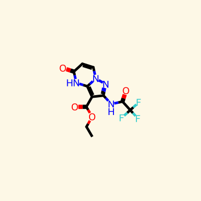 CCOC(=O)c1c(NC(=O)C(F)(F)F)nn2ccc(=O)[nH]c12